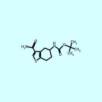 CC(C)(C)OC(=O)NC1CCc2scc(C(N)=O)c2C1